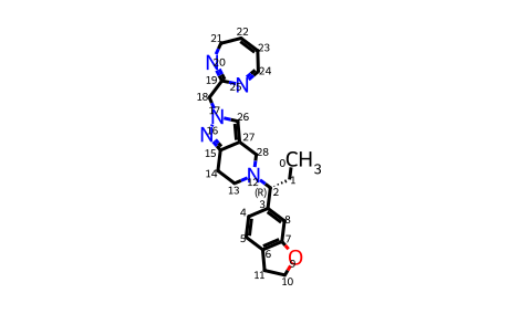 CC[C@H](c1ccc2c(c1)OCC2)N1CCc2nn(CC3=NCC=CC=N3)cc2C1